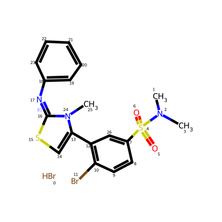 Br.CN(C)S(=O)(=O)c1ccc(Br)c(-c2cs/c(=N/c3ccccc3)n2C)c1